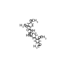 COc1ccc(C(=O)Nc2n[nH]c3cc(-c4ccc(OC)cc4OC)ccc23)c(OC)c1